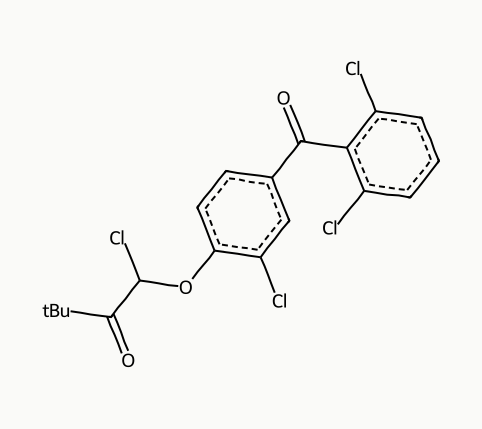 CC(C)(C)C(=O)C(Cl)Oc1ccc(C(=O)c2c(Cl)cccc2Cl)cc1Cl